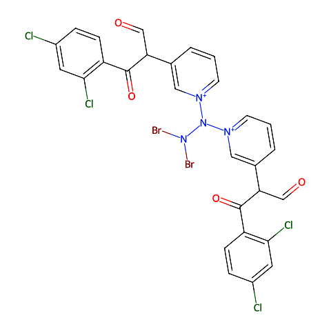 O=CC(C(=O)c1ccc(Cl)cc1Cl)c1ccc[n+](N(N(Br)Br)[n+]2cccc(C(C=O)C(=O)c3ccc(Cl)cc3Cl)c2)c1